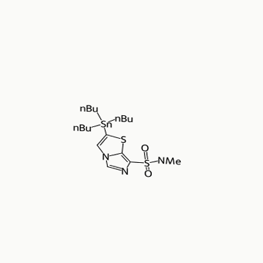 CCC[CH2][Sn]([CH2]CCC)([CH2]CCC)[c]1cn2cnc(S(=O)(=O)NC)c2s1